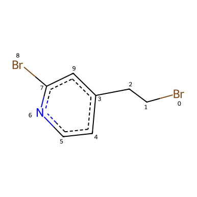 BrCCc1ccnc(Br)c1